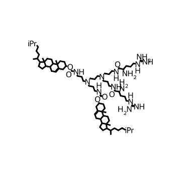 CC(C)CCCC(C)C1CCC2C3CC=C4CC(OC(=O)NCCCN(CCCNC(=O)OC5CCC6(C)C(=CCC7C6CCC6(C)C(C(C)CCCC(C)C)CCC76)C5)CCCN(CCCNC(=O)C(N)CCCNC(=N)N)CCCNC(=O)C(N)CCCNC(=N)N)CCC4(C)C3CCC12C